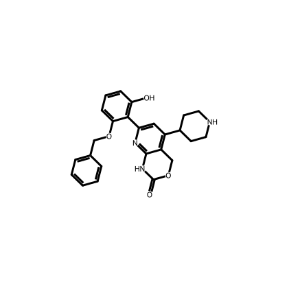 O=C1Nc2nc(-c3c(O)cccc3OCc3ccccc3)cc(C3CCNCC3)c2CO1